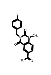 Cn1c(=O)n(Cc2ccc(F)cc2)c(=O)c2cc(C(=O)O)ccc21